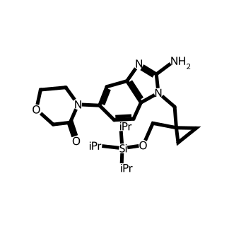 CC(C)[Si](OCC1(Cn2c(N)nc3cc(N4CCOCC4=O)ccc32)CC1)(C(C)C)C(C)C